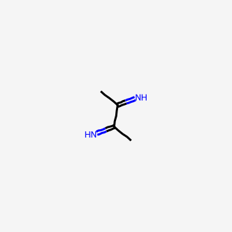 CC(=N)C(C)=N